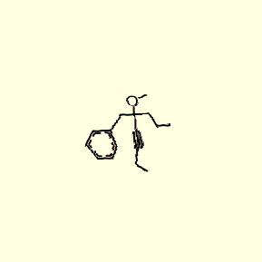 CCC#CC(CCC)(Cc1ccccc1)OC